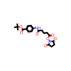 CC(C)(C)OC(=O)c1ccc(NC(=O)CCCC(=O)ON2C(=O)CCC2=O)cc1